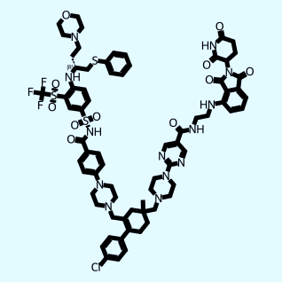 CC1(CN2CCN(c3ncc(C(=O)NCCNc4cccc5c4C(=O)N(C4CCC(=O)NC4=O)C5=O)cn3)CC2)CCC(c2ccc(Cl)cc2)=C(CN2CCN(c3ccc(C(=O)NS(=O)(=O)c4ccc(N[C@H](CCN5CCOCC5)CSc5ccccc5)c(S(=O)(=O)C(F)(F)F)c4)cc3)CC2)C1